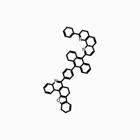 C1=CCCC(C2=NC3=C(C=CC4C=CC(c5c6c(c(-c7ccc(C8=NC9C=CC=CC9C9=C8CCc8c9oc9c8C=CCC9)cc7)c7ccccc57)CCC=C6)=NC34)CC2)=C1